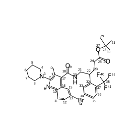 Cc1c(N2CCCCC2)nc2ccc(Br)cc2c1C(=O)NCC(CCC(=O)OC(C)(C)C)c1ccccc1C(F)(F)F